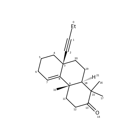 CCC#C[C@]12CCCC=C1[C@@]1(C)CCC(=O)C(C)(C)[C@@H]1CC2